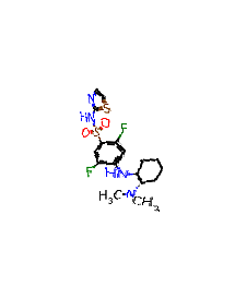 CN(C)[C@H]1CCCC[C@@H]1Nc1cc(F)c(S(=O)(=O)Nc2nccs2)cc1F